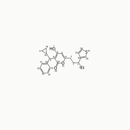 CCC(CCc1cc(O)c(C(c2ccccc2)C2CC2)c(=O)o1)c1ccsc1